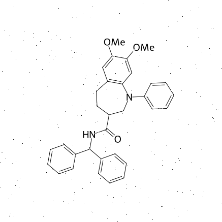 COc1cc2c(cc1OC)N(c1ccccc1)CC(C(=O)NC(c1ccccc1)c1ccccc1)CC2